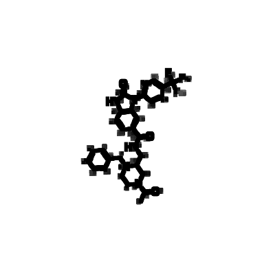 CC(=O)N1CCN(Cc2ccccc2)C(CNC(=O)c2ccc3[nH]c(=O)n(-c4ccc(C(F)(F)F)cn4)c3c2)C1